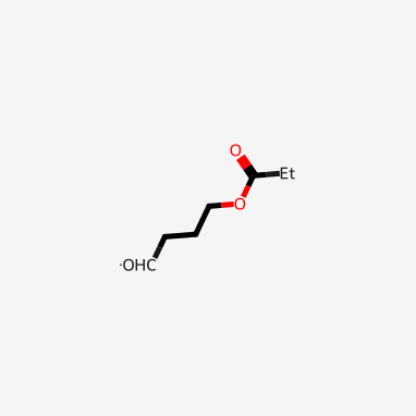 CCC(=O)OCCC[C]=O